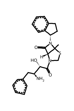 CC12SCN(C(=O)[C@@H](O)[C@@H](N)Cc3ccccc3)[C@@H]1C(=O)N2[C@H]1CCc2ccccc21